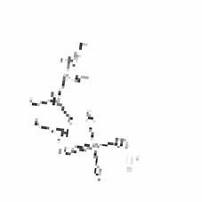 CC#N.CCCCCCCCN(C)C.O=P([O-])([O-])[O-].[H+].[H+].[K+]